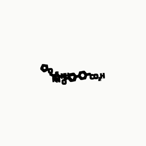 O=C(O)CC1CCC(c2ccc(C(=O)Nc3nnc(COC4CCCC4)s3)cc2)CC1